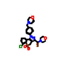 O=S1(=O)Cc2c(C(=S)N3CCOCC3)nn(-c3ccc(CN4CCOCC4)cc3)c2-c2cccc(Cl)c21